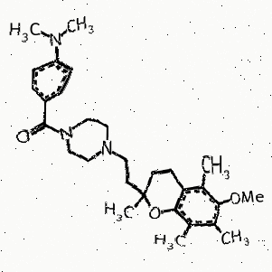 COc1c(C)c(C)c2c(c1C)CCC(C)(CCN1CCN(C(=O)c3ccc(N(C)C)cc3)CC1)O2